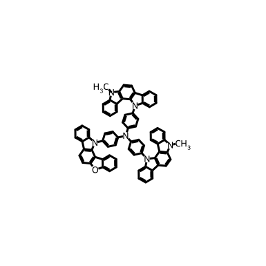 Cn1c2ccccc2c2c1ccc1c3ccccc3n(-c3ccc(N(c4ccc(-n5c6ccccc6c6ccc7oc8ccccc8c7c65)cc4)c4ccc(-n5c6ccccc6c6ccc7c(c8ccccc8n7C)c65)cc4)cc3)c12